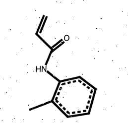 C=CC(=O)Nc1ccccc1C